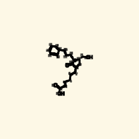 O=C(O)CCCCC[C@@H]1C[C@@H](CO)N(CCCc2ccccc2)C1=O